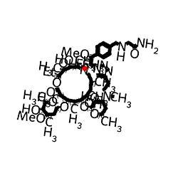 CC[C@H]1OC(=O)[C@H](C)[C@@H](O[C@H]2C[C@@](C)(OC)[C@@H](O)[C@H](C)O2)[C@H](C)[C@@H](O[C@@H]2O[C@H](C)C[C@H](N(C)CCc3cn([C@H](CF)[C@H](OC)c4ccc(CNCC(N)=O)cc4)nn3)[C@H]2O)[C@](C)(O)C[C@@H](C)CN(C)[C@H](C)[C@@H](O)[C@]1(C)O